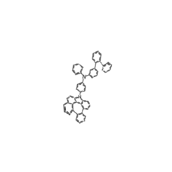 c1ccc(-c2ccccc2-c2cccc(N(c3ccccc3)c3ccc(-n4c5cccc6c5c5c7c(cccc7ccc54)-c4ccccc4-6)cc3)c2)cc1